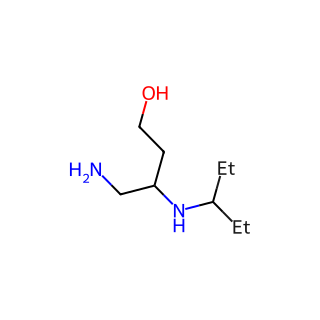 CCC(CC)NC(CN)CCO